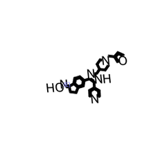 O/N=C1\CCc2cc(-c3nc(C4CCN(Cc5ccoc5)CC4)[nH]c3-c3ccncc3)ccc21